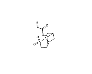 C=CC(=O)OC1C2CC3C1CS(=O)(=O)C3C2